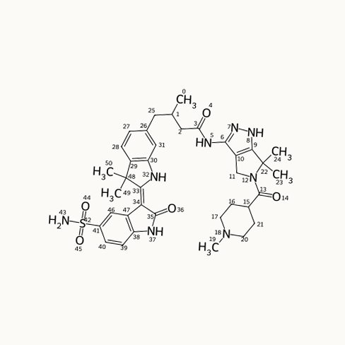 CC(CC(=O)Nc1n[nH]c2c1CN(C(=O)C1CCN(C)CC1)C2(C)C)Cc1ccc2c(c1)N/C(=C1\C(=O)Nc3ccc(S(N)(=O)=O)cc31)C2(C)C